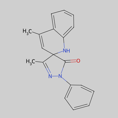 CC1=CC2(Nc3ccccc31)C(=O)N(c1ccccc1)N=C2C